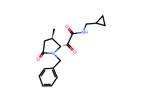 C[C@@H]1CC(=O)N(Cc2ccccc2)[C@H]1C(=O)C(=O)NCC1CC1